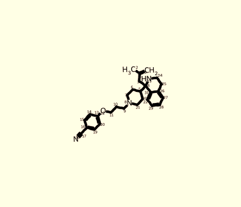 C=C(C)CC1(C2CCN(CCCOc3ccc(C#N)cc3)CC2)NCCc2ccccc21